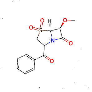 CO[C@H]1C(=O)N2C(C(=O)c3ccccc3)CS(=O)(=O)[C@@H]12